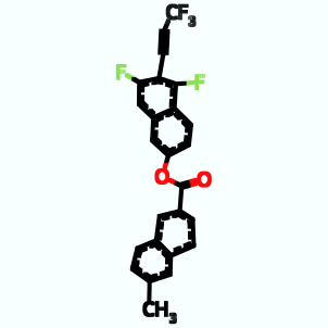 Cc1ccc2cc(C(=O)Oc3ccc4c(F)c(C#CC(F)(F)F)c(F)cc4c3)ccc2c1